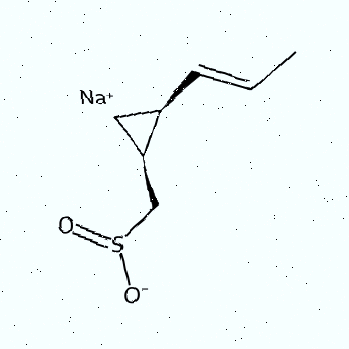 C/C=C/[C@@H]1C[C@@H]1CS(=O)[O-].[Na+]